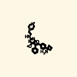 COc1nc(NCCN2CCN(C)CC2)nc2oc(-c3ccc(C4(N)CCC4)cc3)c(-c3ccccc3)c12